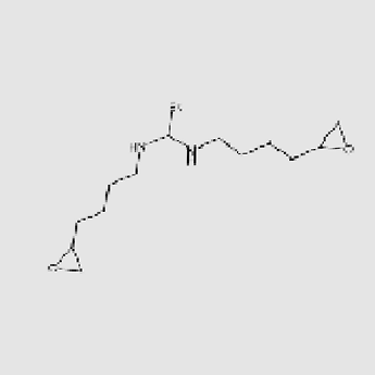 CCC(NCCCCC1CO1)NCCCCC1CO1